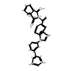 CC(c1ccc2c(c1)ncn2-c1cccc(-c2cncnc2)c1)N1C(=O)c2ccccc2C1=O